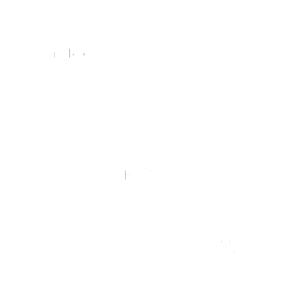 CCCCCCCCCOC(=O)CC(=O)O.[KH]